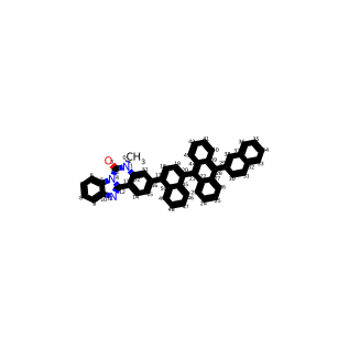 Cn1c(=O)n2c3ccccc3nc2c2ccc(-c3ccc(-c4c5ccccc5c(-c5ccc6ccccc6c5)c5ccccc45)c4ccccc34)cc21